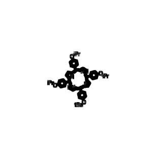 CC(C)Oc1ccc(-c2c3nc(c(-c4ccc(OC(C)C)cc4)c4ccc([nH]4)c(-c4ccc(OC(C)(C)C)cc4)c4nc(c(-c5ccc(OC(C)C)cc5)c5ccc2[nH]5)C=C4)C=C3)cc1